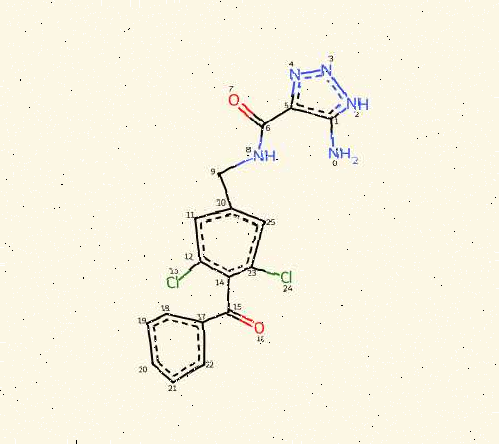 Nc1[nH]nnc1C(=O)NCc1cc(Cl)c(C(=O)c2ccccc2)c(Cl)c1